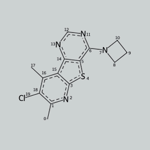 Cc1nc2sc3c(N4CCC4)ncnc3c2c(C)c1Cl